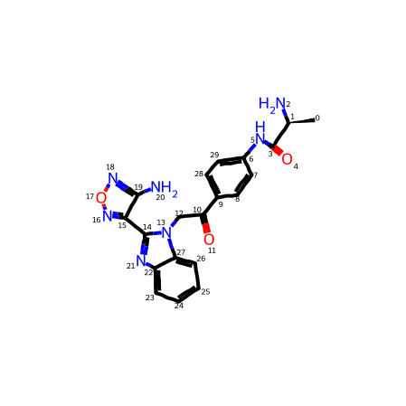 C[C@H](N)C(=O)Nc1ccc(C(=O)Cn2c(-c3nonc3N)nc3ccccc32)cc1